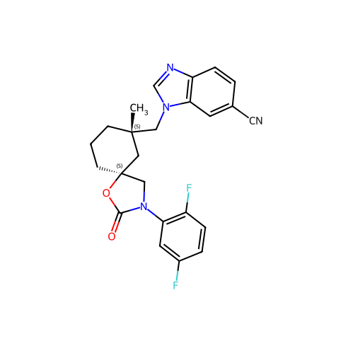 C[C@]1(Cn2cnc3ccc(C#N)cc32)CCC[C@@]2(CN(c3cc(F)ccc3F)C(=O)O2)C1